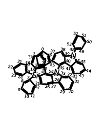 c1ccc(-c2c([Si](c3ccccc3)(c3ccccc3)c3ccccc3)ccc3c4ccccc4n(-c4cccc5c4c4ccccc4n5-c4ccccc4)c23)cc1